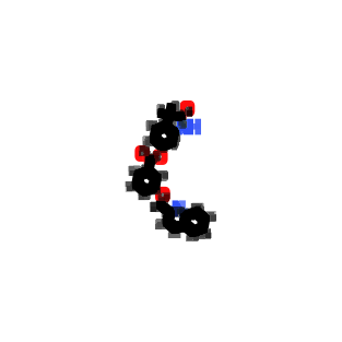 CC1(C)C(=O)Nc2cc(OC(=O)c3cccc(OCc4ccc5ccccc5n4)c3)ccc21